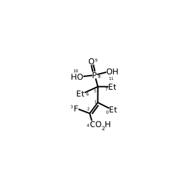 CC/C(=C(/F)C(=O)O)C(CC)(CC)P(=O)(O)O